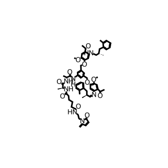 C=C1C=CC(=O)N1CCNC(=O)CCCCC(=O)N[C@@H](C)C(=O)NC(C)C(=O)Nc1cc(COc2cc(/N=C\[C@@H](C)Cc3ccccc3C)c(C(C)=O)cc2OC)cc(COc2cc(NC[C@@H](C)Cc3ccccc3C)c(C(C)=O)cc2OC)c1